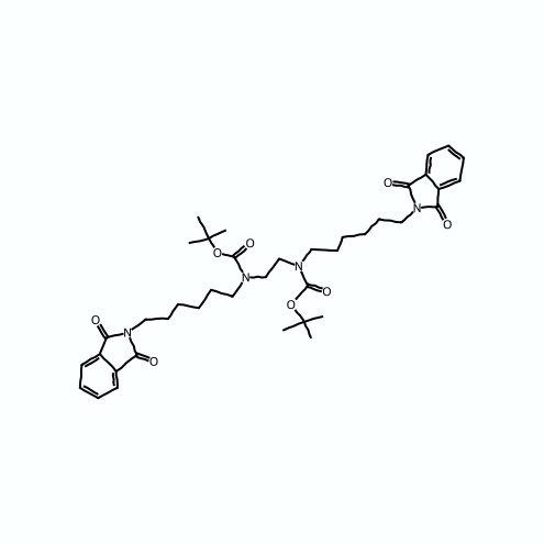 CC(C)(C)OC(=O)N(CCCCCCN1C(=O)c2ccccc2C1=O)CCN(CCCCCCN1C(=O)c2ccccc2C1=O)C(=O)OC(C)(C)C